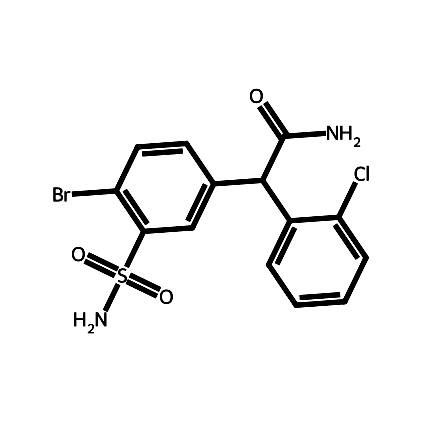 NC(=O)C(c1ccc(Br)c(S(N)(=O)=O)c1)c1ccccc1Cl